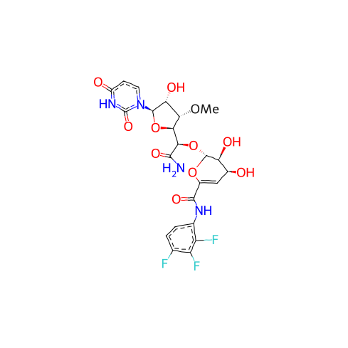 CO[C@H]1[C@@H](O)[C@H](n2ccc(=O)[nH]c2=O)O[C@@H]1[C@@H](O[C@H]1OC(C(=O)Nc2ccc(F)c(F)c2F)=C[C@H](O)[C@@H]1O)C(N)=O